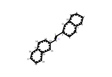 C(=C\c1ccc2ccccc2c1)/c1ccc2ccccc2c1